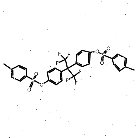 Cc1ccc(S(=O)(=O)Oc2ccc(C(c3ccc(OS(=O)(=O)c4ccc(C)cc4)cc3)(C(F)(F)F)C(F)(F)F)cc2)cc1